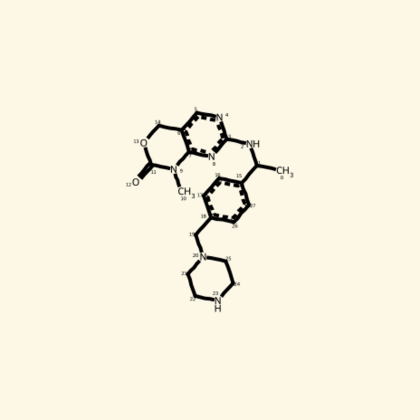 CC(Nc1ncc2c(n1)N(C)C(=O)OC2)c1ccc(CN2CCNCC2)cc1